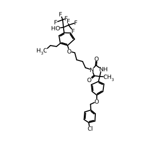 CCCc1cc(C(O)(C(F)(F)F)C(F)(F)F)ccc1OCCCCN1C(=O)NC(C)(c2ccc(OCc3ccc(Cl)cc3)cc2)C1=O